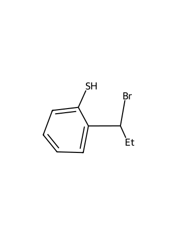 CCC(Br)c1ccccc1S